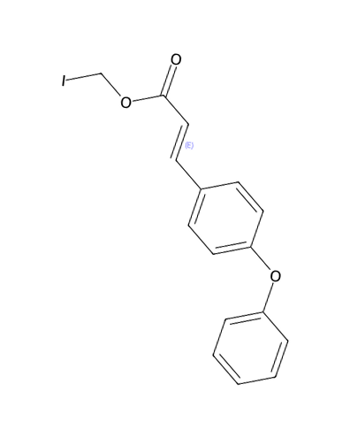 O=C(/C=C/c1ccc(Oc2ccccc2)cc1)OCI